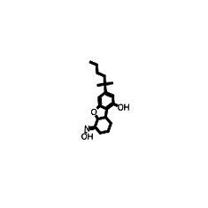 CCCCC(C)(C)c1cc(O)c2c(c1)OC1C(=NO)CCCC21